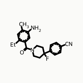 CCc1cc(C)c(N)cc1C(=O)N1CCC(F)(c2ccc(C#N)cc2)CC1